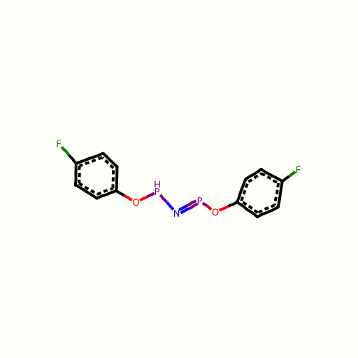 Fc1ccc(OP=NPOc2ccc(F)cc2)cc1